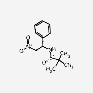 CC(C)(C)[S@+]([O-])NC(C[N+](=O)[O-])c1ccccc1